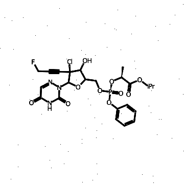 CC(C)OC(=O)[C@H](C)O[P@](=O)(OCC1OC(n2ncc(=O)[nH]c2=O)C(Cl)(C#CCF)C1O)Oc1ccccc1